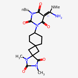 CCCCN1C(=O)/C(=C(/N)NC)C(=O)N(C2CCC3(CC2)CC2(C3)C(=O)N(C)C(=O)N2C)C1=O